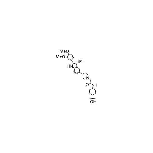 COc1ccc(-c2[nH]c3ccc(C4CCN(CC(=O)NC5CCC(C(C)(C)O)CC5)CC4)cc3c2C(C)C)cc1OC